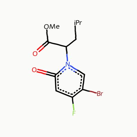 COC(=O)C(CC(C)C)n1cc(Br)c(F)cc1=O